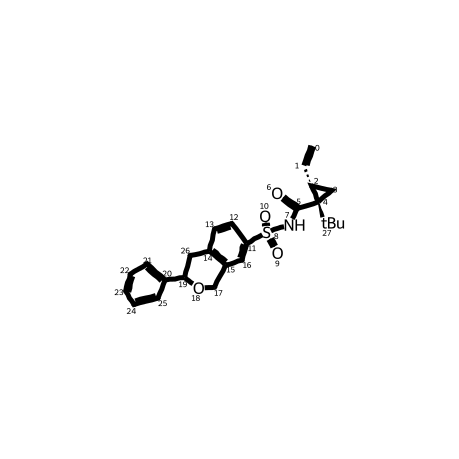 C=C[C@@H]1C[C@@]1(C(=O)NS(=O)(=O)c1ccc2c(c1)COC(c1ccccc1)C2)C(C)(C)C